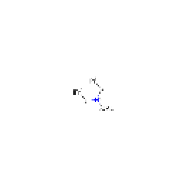 CC(=O)ON(CC(C)C)CC(C)C